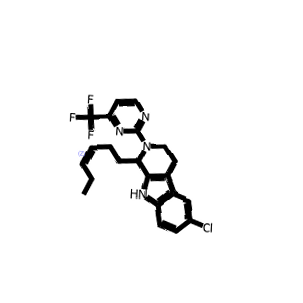 CC/C=C\CCC1c2[nH]c3ccc(Cl)cc3c2CCN1c1nccc(C(F)(F)F)n1